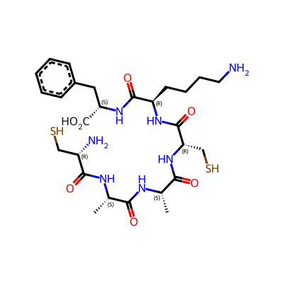 C[C@H](NC(=O)[C@H](C)NC(=O)[C@@H](N)CS)C(=O)N[C@@H](CS)C(=O)N[C@H](CCCCN)C(=O)N[C@@H](Cc1ccccc1)C(=O)O